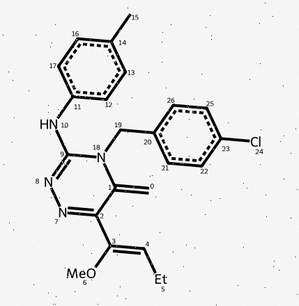 C=C1C(C(=CCC)OC)=NN=C(Nc2ccc(C)cc2)N1Cc1ccc(Cl)cc1